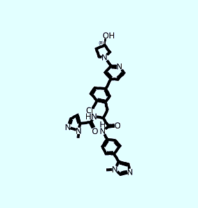 Cn1cncc1-c1ccc(NC(=O)C(Cc2cc(-c3ccnc(N4CC[C@@H](O)C4)c3)ccc2Cl)NC(=O)c2ccnn2C)cc1